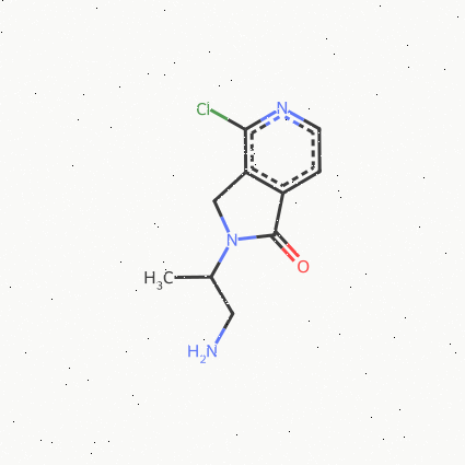 CC(CN)N1Cc2c(ccnc2Cl)C1=O